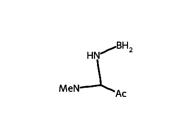 BNC(NC)C(C)=O